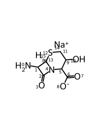 NC1C(=O)N2C(C(=O)[O-])C(O)CS[C@H]12.[Na+]